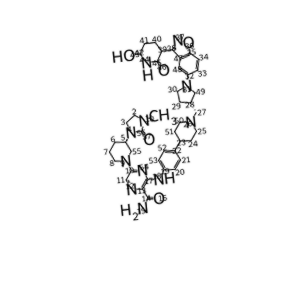 CN1CCN([C@@H]2CCCN(c3cnc(C(N)=O)c(Nc4ccc(C5CCN(C[C@@H]6CCN(c7ccc8onc(C9CCC(O)NC9=O)c8c7)C6)CC5)cc4)n3)C2)C1=O